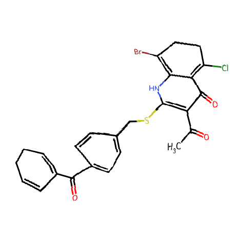 CC(=O)c1c(SCc2ccc(C(=O)C3=CCCC=C3)cc2)[nH]c2c(c1=O)=C(Cl)CCC=2Br